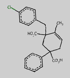 CC1=CCC(C(=O)O)(c2ccccc2)CC1(Cc1ccc(Cl)cc1)C(=O)O